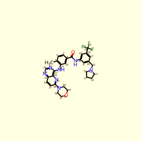 Cc1ccc(C(=O)Nc2cc(CN3CCCC3)cc(C(F)(F)F)c2)cc1Nc1ncnc2ccc(N3CCOCC3)nc12